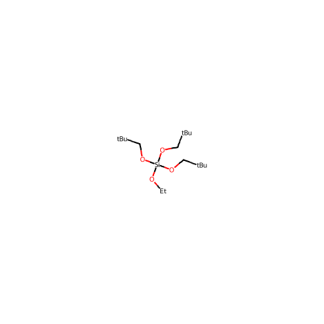 CCO[Si](OCC(C)(C)C)(OCC(C)(C)C)OCC(C)(C)C